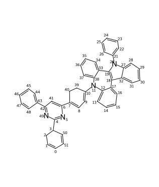 C1=CCC(c2nc(C3=CC=C(N4c5ccccc5-c5c(n(-c6ccccc6)c6ccccc56)-c5ccccc54)CC3)cc(-c3ccccc3)n2)C=C1